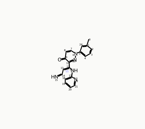 Cc1cccc(-n2ccc(=O)c(/C(=C/C=N)Nc3ccccn3)n2)c1